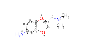 CN(C)C[C@@H]1COc2cc(N)ccc2O1